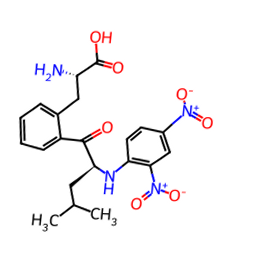 CC(C)C[C@H](Nc1ccc([N+](=O)[O-])cc1[N+](=O)[O-])C(=O)c1ccccc1C[C@H](N)C(=O)O